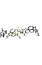 CC(C)(C)Cc1ccc2c(c1)sc1cc(C(C)(C)C)sc12